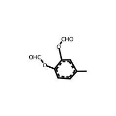 Cc1ccc(OC=O)c(OC=O)c1